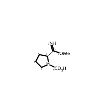 COC(=N)[C@H]1CCCN1C(=O)O